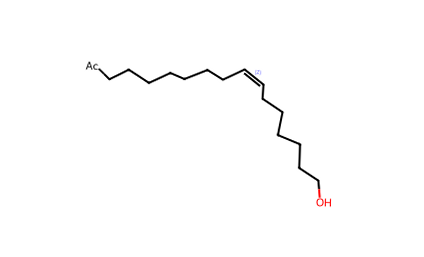 CC(=O)CCCCCCC/C=C\CCCCCCO